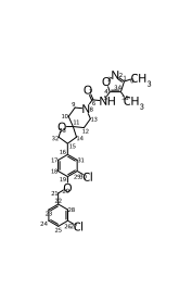 Cc1noc(NC(=O)N2CCC3(CC2)CC(c2ccc(OCc4cccc(Cl)c4)c(Cl)c2)CO3)c1C